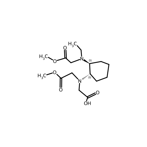 CCN(CC(=O)OC)[C@H]1CCCC[C@@H]1N(CC(=O)O)CC(=O)OC